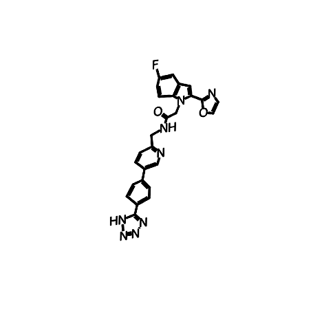 O=C(Cn1c(-c2ncco2)cc2cc(F)ccc21)NCc1ccc(-c2ccc(-c3nnn[nH]3)cc2)cn1